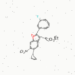 CCOC(=O)c1c(-c2cccc(F)c2)oc2cc([N+](=O)[O-])c(C3CC3)cc12